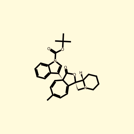 CC1=CC=C2[C@@](c3cn(C(=O)OC(C)(C)C)c4ccccc34)(C=C1)C(=O)O[C@]21CN2CCCC[C@H]21